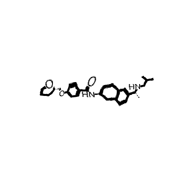 CC(C)CN[C@H](C)c1ccc2c(c1)CC[C@H](NC(=O)c1ccc(OC[C@@H]3CCCO3)cc1)C2